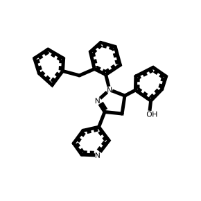 Oc1ccccc1C1CC(c2cccnc2)=NN1c1ccccc1Cc1ccccc1